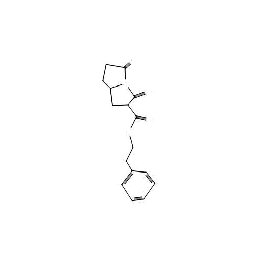 O=C(OCCc1ccccc1)C1CC2CCC(=O)N2C1=O